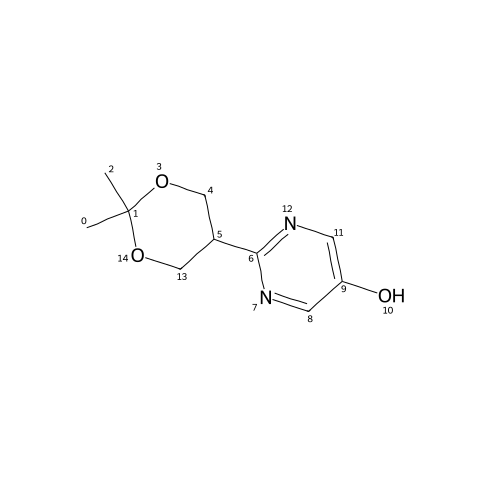 CC1(C)OCC(c2ncc(O)cn2)CO1